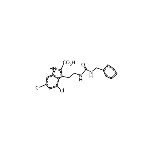 O=C(NCCc1c(C(=O)O)[nH]c2cc(Cl)cc(Cl)c12)NCc1ccccc1